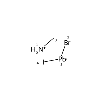 C[NH3+].[Br][Pb][I]